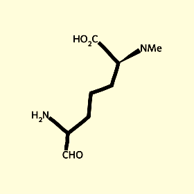 CN[C@@H](CCCC(N)C=O)C(=O)O